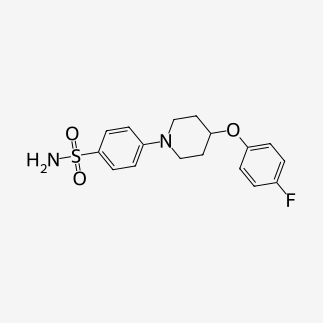 NS(=O)(=O)c1ccc(N2CCC(Oc3ccc(F)cc3)CC2)cc1